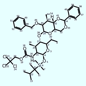 CCC1O[C@@H](O[Si](C)(C)C(C)(C)C(C)C)C(NC(=O)OCC(Cl)(Cl)Cl)[C@@H](C)[C@@H]1O[C@@H]1OC2COC(c3ccccc3)O[C@H]2[C@H](C)C1OCc1ccccc1